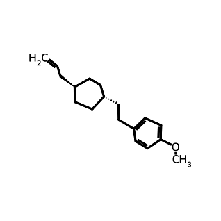 C=CC[C@H]1CC[C@H](CCc2ccc(OC)cc2)CC1